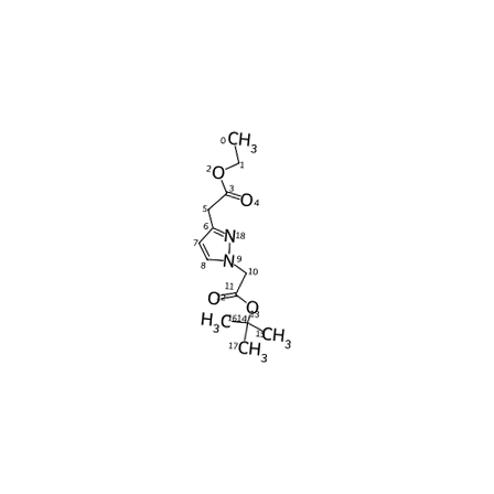 CCOC(=O)Cc1ccn(CC(=O)OC(C)(C)C)n1